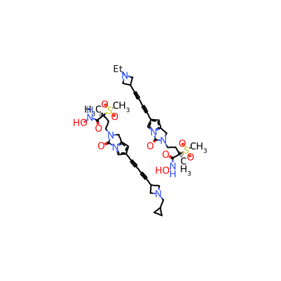 CCN1CC(C#CC#Cc2cc3n(c2)C(=O)N(CC[C@](C)(C(=O)NO)S(C)(=O)=O)C3)C1.C[C@@](CCN1Cc2cc(C#CC#CC3CN(CC4CC4)C3)cn2C1=O)(C(=O)NO)S(C)(=O)=O